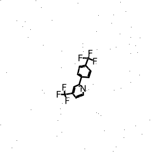 FC(F)(F)c1ccc(-c2cc(C(F)(F)F)ccn2)cc1